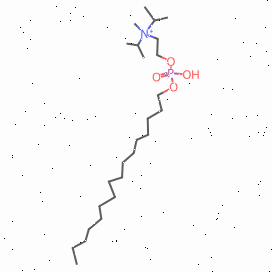 CCCCCCCCCCCCCCCCOP(=O)(O)OCC[N+](C)(C(C)C)C(C)C